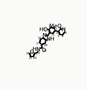 COc1ncccc1-c1ccc(O)c(-c2nc3ccc(C(=O)NCc4ccco4)cc3[nH]2)c1